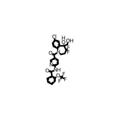 O=C(Nc1ccc(C(=O)N2CCC(F)(F)[C@](O)(CO)c3cc(Cl)ccc32)cn1)c1ccccc1OC(F)(F)F